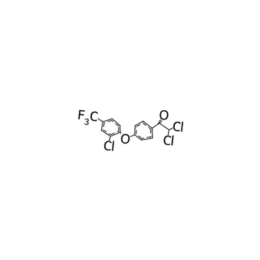 O=C(c1ccc(Oc2ccc(C(F)(F)F)cc2Cl)cc1)C(Cl)Cl